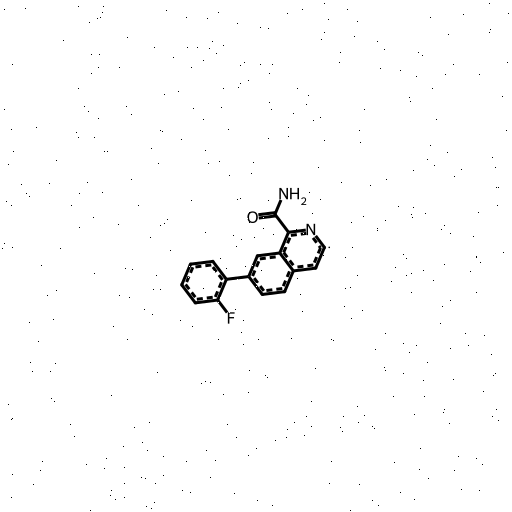 NC(=O)c1n[c]cc2ccc(-c3ccccc3F)cc12